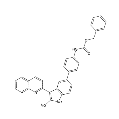 O=C(Nc1ccc(-c2ccc3[nH]c(O)c(-c4ccc5ccccc5n4)c3c2)cc1)OCc1ccccc1